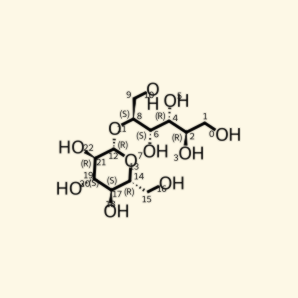 OC[C@@H](O)[C@@H](O)[C@H](O)[C@H](CO)O[C@@H]1O[C@H](CO)[C@@H](O)[C@H](O)[C@H]1O